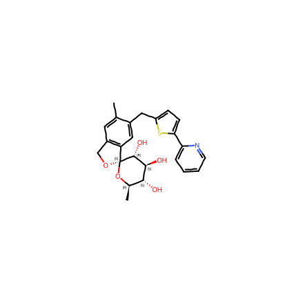 Cc1cc2c(cc1Cc1ccc(-c3ccccn3)s1)[C@]1(OC2)O[C@H](C)[C@@H](O)[C@H](O)[C@H]1O